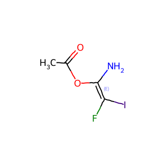 CC(=O)O/C(N)=C(\F)I